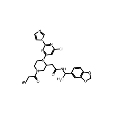 CC(C)CC(=O)N1CCN(c2cc(Cl)nc(-n3ccnc3)n2)C(CC(=O)NC(C)c2ccc3c(c2)OCO3)C1